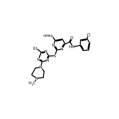 CCCCCCc1cc(C(=O)Nc2cccc(Cl)c2)nc(Sc2nc(CC)nc(N3CCN(C)CC3)n2)n1